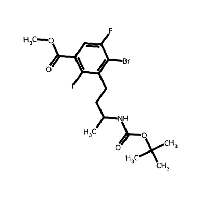 COC(=O)c1cc(F)c(Br)c(CCC(C)NC(=O)OC(C)(C)C)c1I